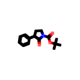 CC(C)(C)OC(=O)N1CCC(c2ccccc2)C1=O